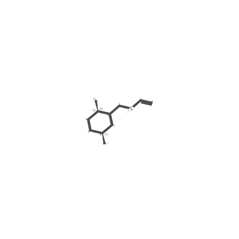 C=CSCC1C[C@@H](C)CC[C@H]1C